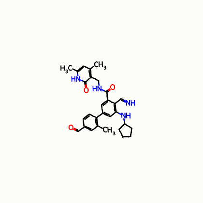 Cc1cc(C)c(CNC(=O)c2cc(-c3ccc(C=O)cc3C)cc(NC3CCCC3)c2C=N)c(=O)[nH]1